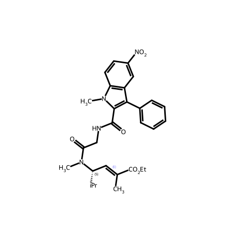 CCOC(=O)/C(C)=C/[C@H](C(C)C)N(C)C(=O)CNC(=O)c1c(-c2ccccc2)c2cc([N+](=O)[O-])ccc2n1C